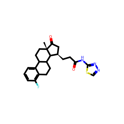 C[C@]12CCC3c4cccc(F)c4CCC3C1[C@H](CCC(=O)Nc1nncs1)CC2=O